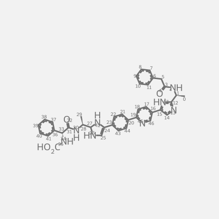 C[C@H](NC(=O)Cc1ccccc1)c1ncc(-c2ccc(-c3ccc(C4=CNC([C@H](C)NC(=O)[C@H](NC(=O)O)c5ccccc5)N4)cc3)nc2)[nH]1